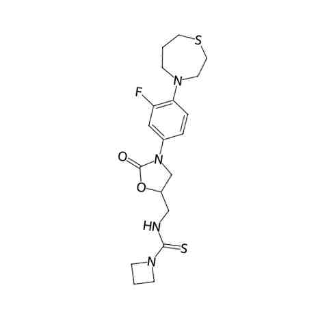 O=C1OC(CNC(=S)N2CCC2)CN1c1ccc(N2CCCSCC2)c(F)c1